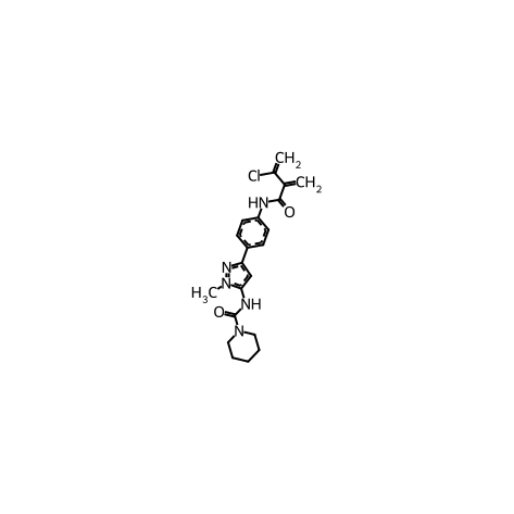 C=C(Cl)C(=C)C(=O)Nc1ccc(-c2cc(NC(=O)N3CCCCC3)n(C)n2)cc1